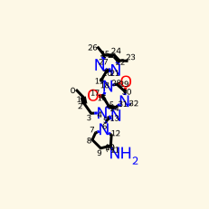 CC#CCn1c(N2CCC[C@@H](N)C2)nc2c1C(=O)N(Cc1nc(C)cc(C)n1)C1OC1N2C